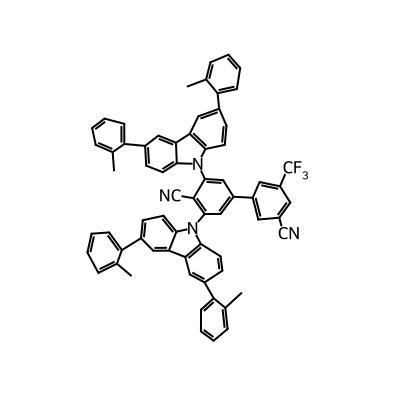 Cc1ccccc1-c1ccc2c(c1)c1cc(-c3ccccc3C)ccc1n2-c1cc(-c2cc(C#N)cc(C(F)(F)F)c2)cc(-n2c3ccc(-c4ccccc4C)cc3c3cc(-c4ccccc4C)ccc32)c1C#N